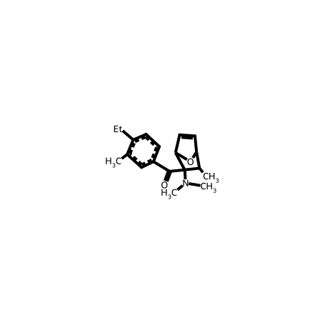 CCc1ccc(C(=O)C2(N(C)C)C3C=CC(O3)C2C)cc1C